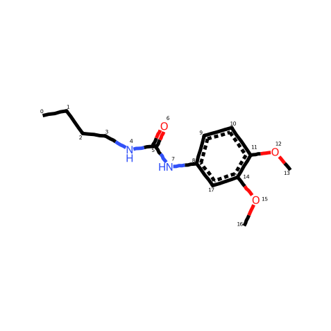 CCCCNC(=O)Nc1ccc(OC)c(OC)c1